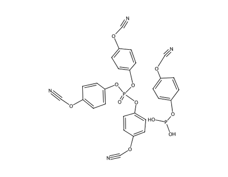 N#COc1ccc(OP(=O)(Oc2ccc(OC#N)cc2)Oc2ccc(OC#N)cc2)cc1.N#COc1ccc(OP(O)O)cc1